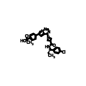 CC[C@H](NC(=O)C1CN(c2ncnn3cc(-c4ccc(C(C)(C)O)cc4)cc23)C1)c1ccc(Cl)cc1